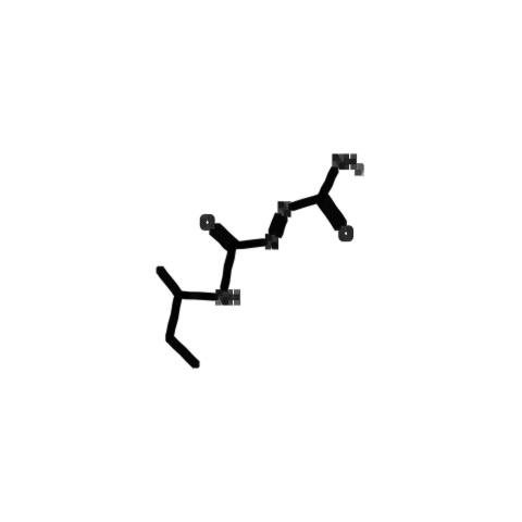 CCC(C)NC(=O)N=NC(N)=O